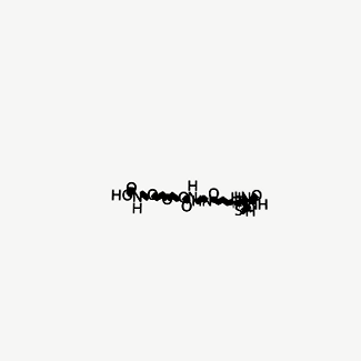 O=C(O)NCCOCCOCCOC(=O)NCCNC(=O)CCCC[C@@H]1SC[C@@H]2NC(=O)N[C@@H]21